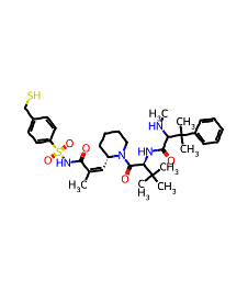 CNC(C(=O)N[C@H](C(=O)N1CCCC[C@H]1C=C(C)C(=O)NS(=O)(=O)c1ccc(CS)cc1)C(C)(C)C)C(C)(C)c1ccccc1